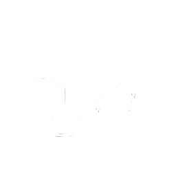 CN1CCN(c2ccoc2CO)CC1